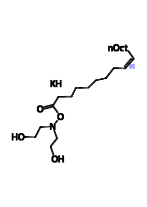 CCCCCCCC/C=C\CCCCCCCC(=O)ON(CCO)CCO.[KH]